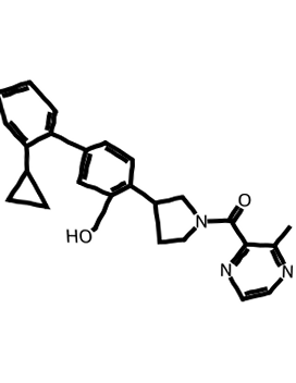 Cc1nccnc1C(=O)N1CCC(c2ccc(-c3ccccc3C3CC3)cc2CO)C1